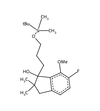 COc1c(F)ccc2c1C(O)(CCCO[Si](C)(C)C(C)(C)C)C(C)(C)C2